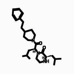 CC(C)C[C@@H]1NCCN([C@@H](CC(C)C)C(=O)N2CCC(CCc3ccccc3)CC2)C1=O